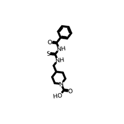 O=C(NC(=S)NCC1CCN(C(=O)O)CC1)c1ccccc1